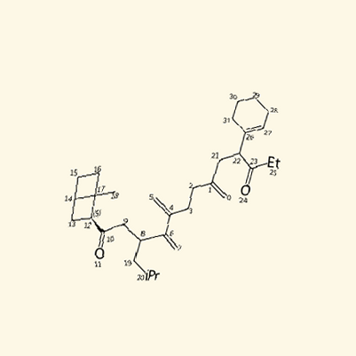 C=C(CCC(=C)C(=C)C(CC(=O)[C@H]1CC2CCC21C)CC(C)C)CC(C(=O)CC)C1=CCCCC1